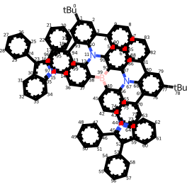 CC(C)(C)c1cc(-c2ccccc2)c(N2c3cc(-n4c(-c5ccccc5)c(-c5ccccc5)c5ccccc54)ccc3B3c4ccc(-n5c(-c6ccccc6)c(-c6ccccc6)c6ccccc65)cc4N(c4c(-c5ccccc5)cc(C(C)(C)C)cc4-c4ccccc4)c4cccc2c43)c(-c2ccccc2)c1